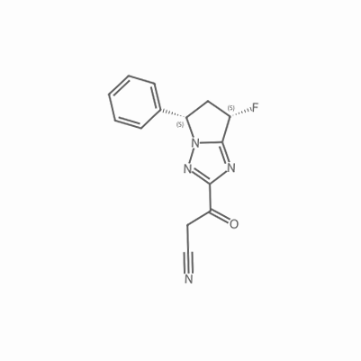 N#CCC(=O)c1nc2n(n1)[C@H](c1ccccc1)C[C@@H]2F